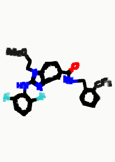 COCCn1c(Nc2c(F)cccc2F)nc2cc(C(=O)NCc3ccccc3C(F)(F)F)ccc21